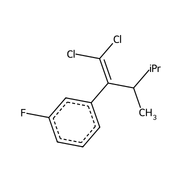 CC(C)C(C)C(=C(Cl)Cl)c1cccc(F)c1